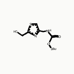 CC(C)(C)OC(=O)Nc1csc(CO)n1